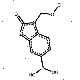 COCn1c(=O)sc2cc(B(O)O)ccc21